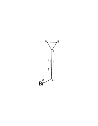 BrCC#CC1CC1